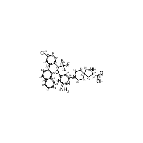 Nc1nc(OC(c2ccc(Cl)cc2-c2ccc3ccccc3c2)C(F)(F)F)cc(N2CCC3(CC2)CN[C@H](C(=O)O)C3)n1